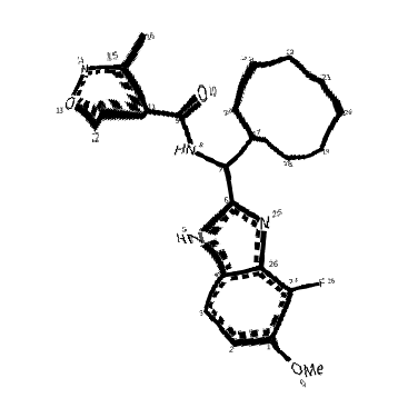 COc1ccc2[nH]c(C(NC(=O)c3conc3C)C3CCCCCCC3)nc2c1F